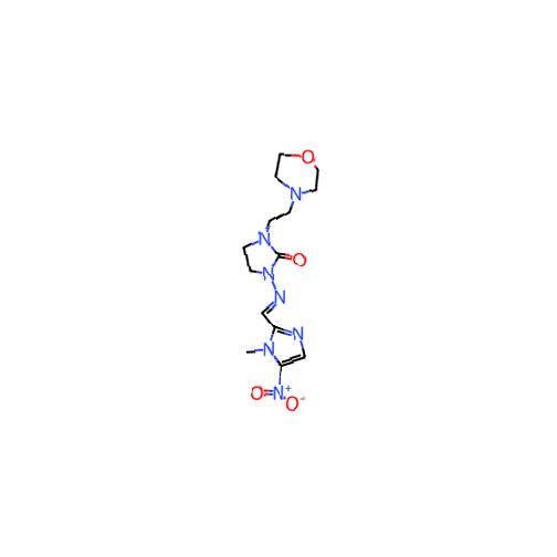 Cn1c([N+](=O)[O-])cnc1/C=N/N1CCN(CCN2CCOCC2)C1=O